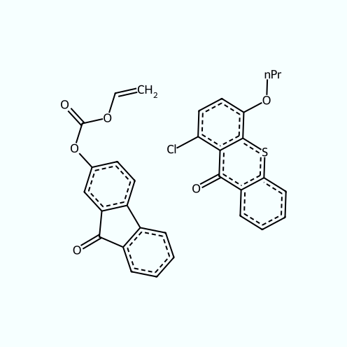 C=COC(=O)Oc1ccc2c(c1)C(=O)c1ccccc1-2.CCCOc1ccc(Cl)c2c(=O)c3ccccc3sc12